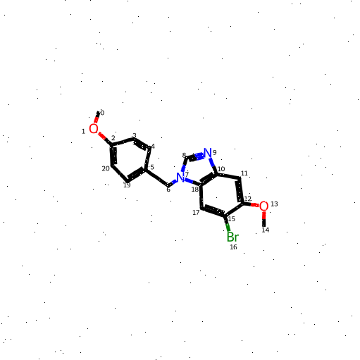 COc1ccc(Cn2cnc3cc(OC)c(Br)cc32)cc1